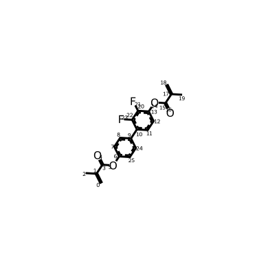 C=C(C)C(=O)Oc1ccc(-c2ccc(OC(=O)C(=C)C)c(F)c2F)cc1